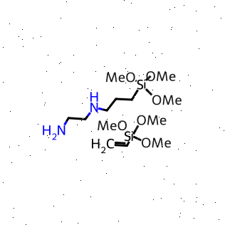 C=C[Si](OC)(OC)OC.CO[Si](CCCNCCN)(OC)OC